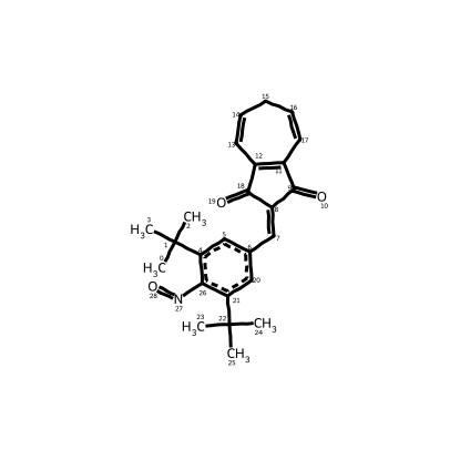 CC(C)(C)c1cc(C=C2C(=O)C3=C(C=CCC=C3)C2=O)cc(C(C)(C)C)c1N=O